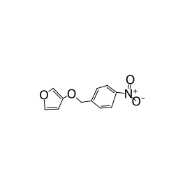 O=[N+]([O-])c1ccc(COc2ccoc2)cc1